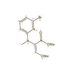 CO/C=C(\C(=O)OC)N(C)c1cccc(Br)n1